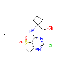 O=S1(=O)CCc2nc(Cl)nc(NC3(CO)CCC3)c21